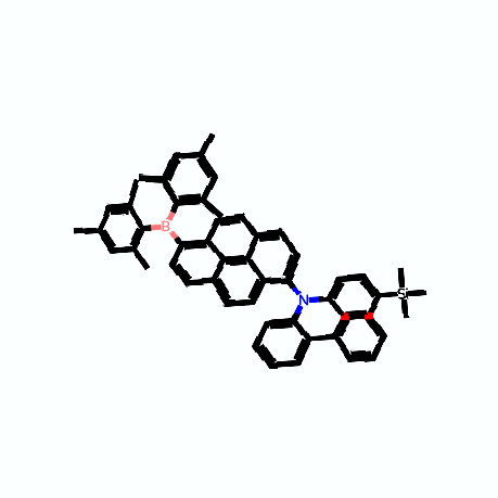 Cc1cc(C)c(B(c2c(C)cc(C)cc2C)c2ccc3ccc4c(N(c5ccc([Si](C)(C)C)cc5)c5ccccc5-c5ccccc5)ccc5ccc2c3c54)c(C)c1